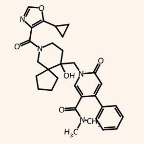 CN(C)C(=O)c1cn(CC2(O)CCN(C(=O)c3ncoc3C3CC3)CC23CCCC3)c(=O)cc1-c1ccccc1